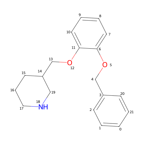 c1ccc(COc2ccccc2OCC2CCCNC2)cc1